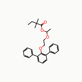 CCC(C)(C)C(=O)OC(C)OCCOc1c(-c2ccccc2)cccc1-c1ccccc1